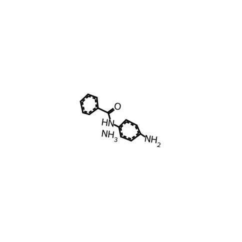 N.Nc1ccc(NC(=O)c2ccccc2)cc1